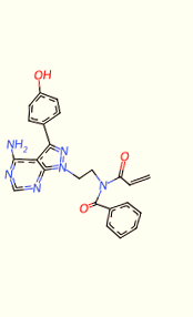 C=CC(=O)N(CCn1nc(-c2ccc(O)cc2)c2c(N)ncnc21)C(=O)c1ccccc1